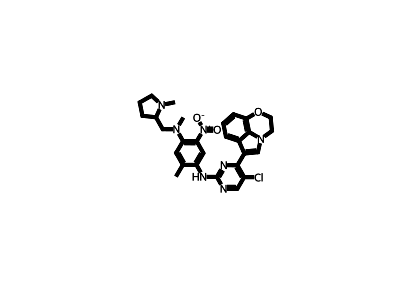 Cc1cc(N(C)CC2CCCN2C)c([N+](=O)[O-])cc1Nc1ncc(Cl)c(-c2cn3c4c(cccc24)OCC3)n1